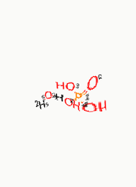 O=P(O)(O)O.[2H]O[2H]